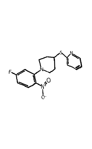 O=[N+]([O-])c1ccc(F)cc1N1CCC(Sc2ccccn2)CC1